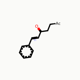 CC(=O)CCC(=O)/C=C/c1ccccc1